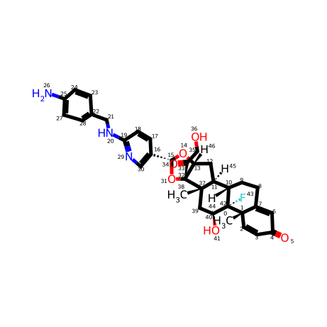 C[C@]12C=CC(=O)C=C1CC[C@H]1[C@@H]3C[C@H]4O[C@@H](c5ccc(NCc6ccc(N)cc6)nc5)O[C@@]4(C(=O)CO)[C@@]3(C)C[C@H](O)[C@@]12F